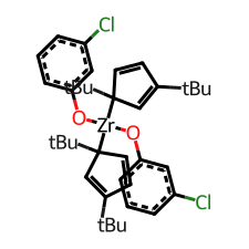 CC(C)(C)C1=C[C](C(C)(C)C)([Zr]([O]c2cccc(Cl)c2)([O]c2cccc(Cl)c2)[C]2(C(C)(C)C)C=CC(C(C)(C)C)=C2)C=C1